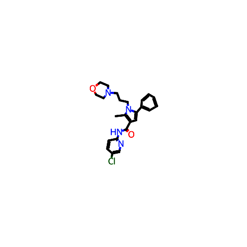 Cc1c(C(=O)Nc2ccc(Cl)cn2)cc(-c2ccccc2)n1CCCN1CCOCC1